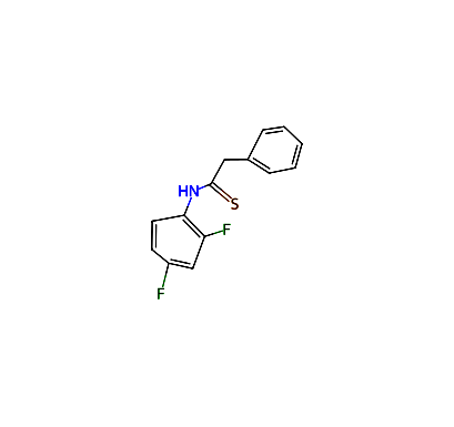 Fc1ccc(NC(=S)Cc2ccccc2)c(F)c1